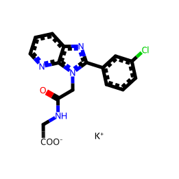 O=C([O-])CNC(=O)Cn1c(-c2cccc(Cl)c2)nc2cccnc21.[K+]